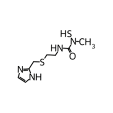 CN(S)C(=O)NCCSCc1ncc[nH]1